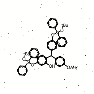 COc1ccc(C(c2ccc(O[Si](OC(C)(C)C)(c3ccccc3)c3ccccc3)cc2)c2ccc(O[Si](OC(C)(C)C)(c3ccccc3)c3ccccc3)cc2O)cc1